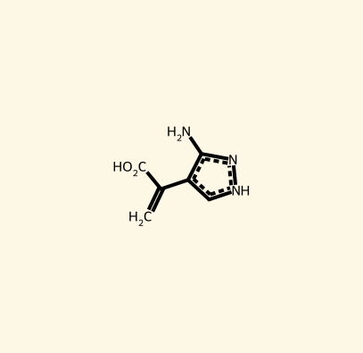 C=C(C(=O)O)c1c[nH]nc1N